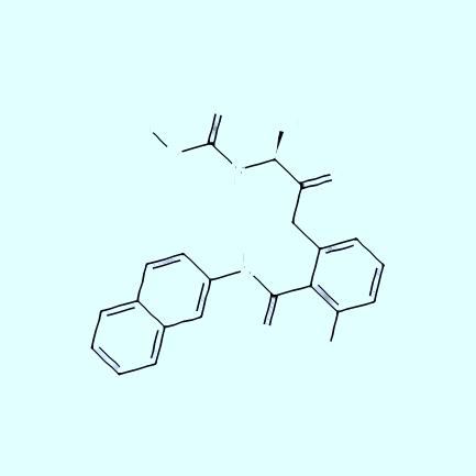 C[C@H](NC(=O)OC(C)(C)C)C(=O)Cc1cccc(Cl)c1C(=O)Nc1ccc2ccccc2c1